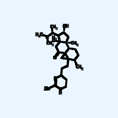 CCC(C)C1=NC(CCC23CC24C(=O)CC2(C)C([C@H](C)N(C)C)[C@H](O)C[C@@]2(C)C4CC[C@H]3C)CCN1